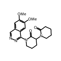 COc1cc2cnnc(N3CCCC(N4CCCCC4=O)C3=O)c2cc1OC